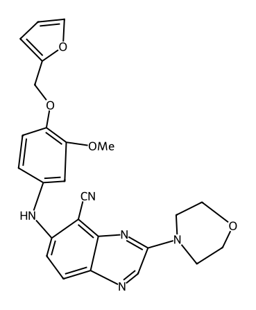 COc1cc(Nc2ccc3ncc(N4CCOCC4)nc3c2C#N)ccc1OCc1ccco1